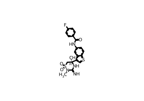 CN1C(=N)N[C@](C)(c2csc3ccc(NC(=O)c4ccc(F)cc4)cc23)CS1(=O)=O